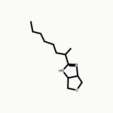 CCCCCCC(C)C1=NC2COCC2N1